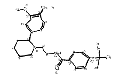 COc1ccc(C2CCCCN2CCNC(=O)c2ccc(C(F)(F)F)cc2)cc1OC